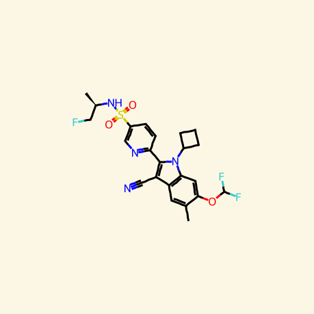 Cc1cc2c(C#N)c(-c3ccc(S(=O)(=O)N[C@H](C)CF)cn3)n(C3CCC3)c2cc1OC(F)F